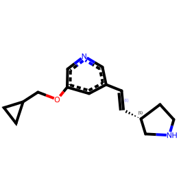 C(=C\[C@@H]1CCNC1)/c1cncc(OCC2CC2)c1